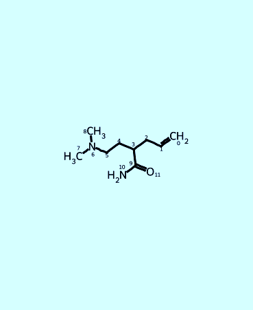 C=CCC(CCN(C)C)C(N)=O